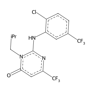 CC(C)Cn1c(Nc2cc(C(F)(F)F)ccc2Cl)nc(C(F)(F)F)cc1=O